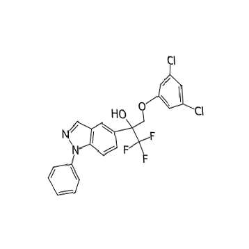 OC(COc1cc(Cl)cc(Cl)c1)(c1ccc2c(cnn2-c2ccccc2)c1)C(F)(F)F